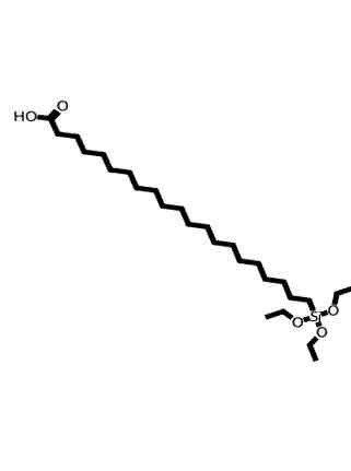 CCO[Si](CCCCCCCCCCCCCCCCCCCCC(=O)O)(OCC)OCC